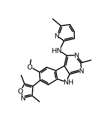 COc1cc2c(cc1-c1c(C)noc1C)[nH]c1nc(C)nc(Nc3cccc(C)n3)c12